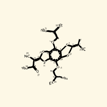 [C-]#[N+]C(C)=C1Sc2c(OCC(CC)CCCC)c3c(c(OCC(CC)CCCC)c2S1)SC(=C(C#N)C(=O)C(C)(C)C)S3